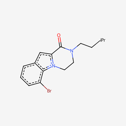 CC(C)CCN1CCn2c(cc3cccc(Br)c32)C1=O